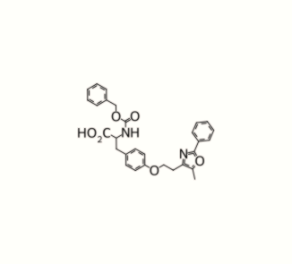 Cc1oc(-c2ccccc2)nc1CCOc1ccc(CC(NC(=O)OCc2ccccc2)C(=O)O)cc1